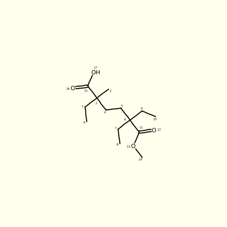 CCC(C)(CCC(CC)(CC)C(=O)OC)C(=O)O